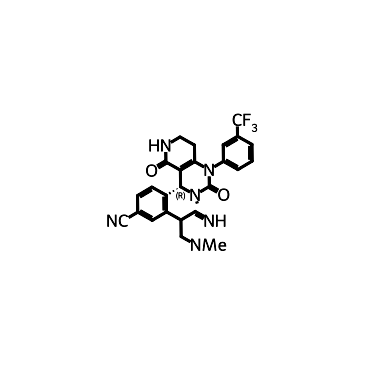 CNCC(C=N)c1cc(C#N)ccc1[C@@H]1C2=C(CCNC2=O)N(c2cccc(C(F)(F)F)c2)C(=O)N1C